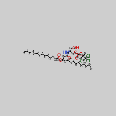 CCCCCCCCCCCCCC(=O)O[C@H](CCCCCCCCCCC)CC(=O)N[C@@H](CO)COC(=O)OC(C)(C)C(Cl)(Cl)Cl